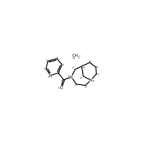 O=C(c1ccccn1)N1CCN2CCCC(C2)C1.[CH2]